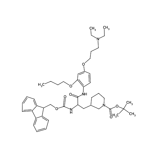 CCCCOc1cc(OCCCN(CC)CC)ccc1NC(=O)C(CC1CCCN(C(=O)OC(C)(C)C)C1)NC(=O)OCC1c2ccccc2-c2ccccc21